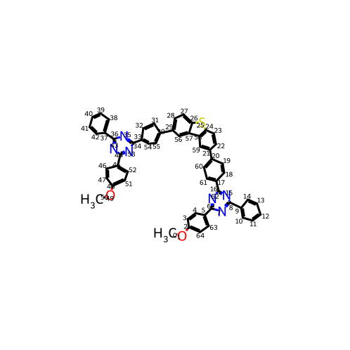 COc1ccc(-c2nc(-c3ccccc3)nc(-c3ccc(-c4ccc5sc6ccc(-c7ccc(-c8nc(-c9ccccc9)nc(-c9ccc(OC)cc9)n8)cc7)cc6c5c4)cc3)n2)cc1